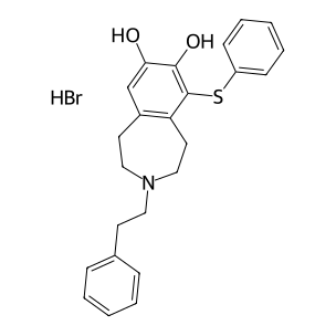 Br.Oc1cc2c(c(Sc3ccccc3)c1O)CCN(CCc1ccccc1)CC2